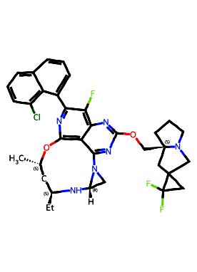 CC[C@H]1C[C@H](C)Oc2nc(-c3cccc4cccc(Cl)c34)c(F)c3nc(OC[C@@]45CCCN4CC4(CC4(F)F)C5)nc(c23)N2C[C@@H]2N1